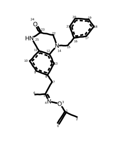 C=C(C)O/N=C(/C)Cc1ccc2c(c1)N(Cc1ccccc1)CC(=O)N2